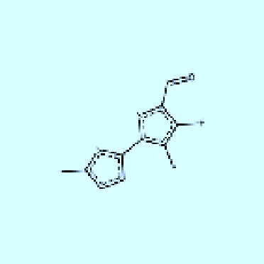 Cc1ccc(-c2sc(C=O)c(F)c2F)s1